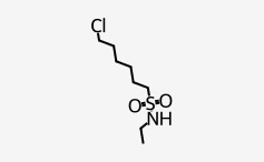 CCNS(=O)(=O)CCCCCCCl